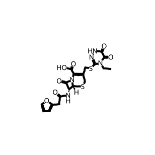 CCn1c(SCC2=C(C(=O)O)N3C(=O)[C@@H](NC(=O)Cc4ccco4)[C@H]3SC2)n[nH]c(=O)c1=O